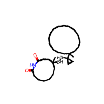 CC1(BBC2(C3(C)CCCCCCCCCCCCCCC3)CC2)CCCCCCC(=O)NC(=O)CC1